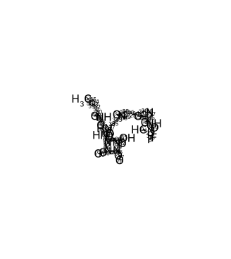 C#C[C@H]1CC(F)(F)CN1C(=O)CNC(=O)c1ccnc2ccc(OCCCC3CCN(C(=O)CCCCCNC(=O)[C@H](CCOCCNC(=O)CCCc4ccc(C)cc4)NC(=O)CN4CCN(COC=O)CCN(COC=O)CCN(CC(=O)O)CC4)CC3)cc12